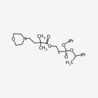 CC(C)OP(=O)(OC(C)C(C)C)SCOC(=O)C(C)(C)CCN1CCOCC1